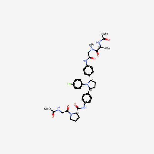 CCCN(CC(=O)Nc1ccc([C@@H]2CC[C@@H](c3ccc(NC(=O)[C@@H]4CCCN4C(=O)CNC(=O)OC)cc3)N2c2ccc(F)cc2)cc1)C(=O)[C@@H](NC(=O)OC)C(C)(C)C